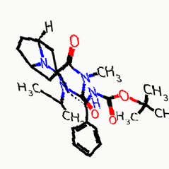 CC(C)N1C(=O)N(C)C(=O)C12CC1CC[C@H](C2)N1CC[C@H](NC(=O)OC(C)(C)C)c1ccccc1